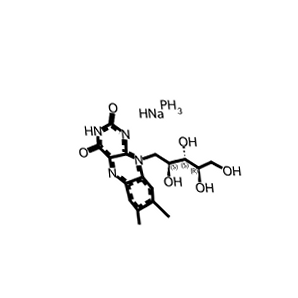 Cc1cc2nc3c(=O)[nH]c(=O)nc-3n(C[C@H](O)[C@H](O)[C@H](O)CO)c2cc1C.P.[NaH]